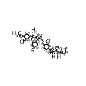 COc1ccc(C(C)(C)c2cnc(SCc3ccc(S(=O)(=O)NC(=O)NN4CCCC4)cc3Cl)n2-c2ccc(F)cc2)cc1Cl